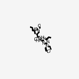 CCCCC[C@@H](CN(O)C=O)C(=O)NNc1nc(CC)nc(N2CCOCC2)n1